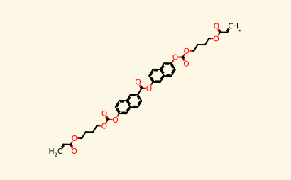 C=CC(=O)OCCCCOC(=O)Oc1ccc2cc(OC(=O)c3ccc4cc(OC(=O)OCCCCOC(=O)C=C)ccc4c3)ccc2c1